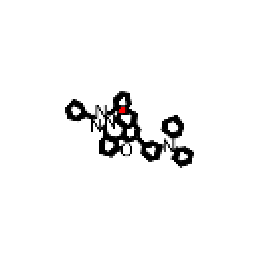 c1ccc(-c2nc(-c3ccccc3)nc(-c3cccc4oc5c(-c6cccc(N(c7ccccc7)c7ccccc7)c6)cc6ccccc6c5c34)n2)cc1